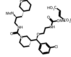 CN[C@H](CNC(=O)N1CCC[C@@H]([C@@H](OCCNC(=O)OC)c2cccc(Cl)c2)C1)C[C@H]1CCCOC1.O=C(O)/C=C/C(=O)O